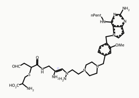 CCCCCNc1nc(N)nc2ccn(Cc3ccc(CN4CCN(CCN(N)/C=C(\N)CNC(=O)C(CC=O)SCC(N)C(=O)O)CC4)cc3OC)c12